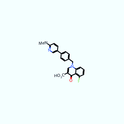 CNc1ccc(-c2ccc(Cn3cc(C(=O)O)c(=O)c4c(F)cccc43)cc2)cn1